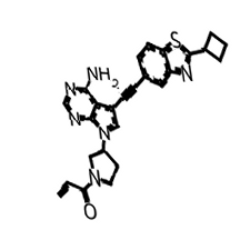 C=CC(=O)N1CCC(n2cc(C#Cc3ccc4sc(C5CCC5)nc4c3)c3c(N)ncnc32)C1